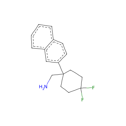 NCC1(c2ccc3ccccc3c2)CCC(F)(F)CC1